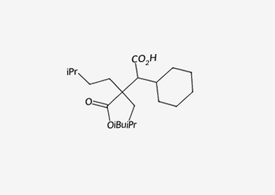 CC(C)CCC(CC(C)C)(C(=O)OCC(C)C)C(C(=O)O)C1CCCCC1